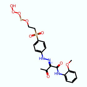 COc1ccccc1NC(=O)/C(=N/Nc1ccc(S(=O)(=O)CCOSOOO)cc1)C(C)=O